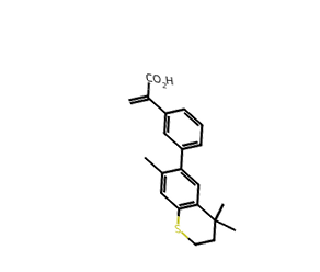 C=C(C(=O)O)c1cccc(-c2cc3c(cc2C)SCCC3(C)C)c1